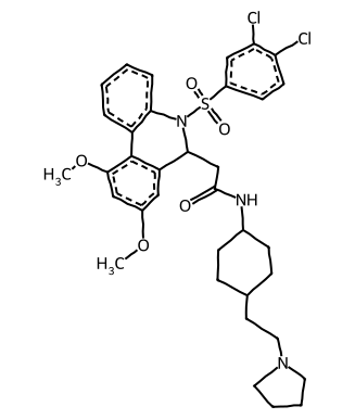 COc1cc(OC)c2c(c1)C(CC(=O)NC1CCC(CCN3CCCC3)CC1)N(S(=O)(=O)c1ccc(Cl)c(Cl)c1)c1ccccc1-2